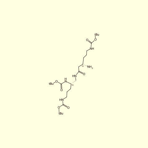 CC(C)(C)OC(=O)NCCC[C@H](N)CC(=O)NC[C@H](CCCNC(=O)OC(C)(C)C)NC(=O)OC(C)(C)C